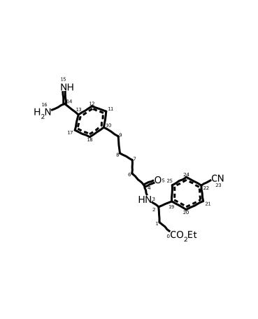 CCOC(=O)CC(NC(=O)CCCCc1ccc(C(=N)N)cc1)c1ccc(C#N)cc1